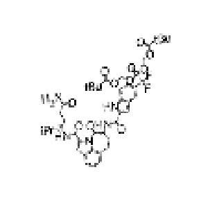 CC(C)[C@H](CCC(N)=O)NC(=O)[C@@H]1Cc2cccc3c2N1C(=O)[C@@H](NC(=O)c1cc2cc(C(F)(F)P(=O)(OCOC(=O)C(C)(C)C)OCOC(=O)C(C)(C)C)ccc2[nH]1)CC3